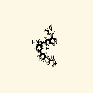 C=N/C(C)=C\N(C)c1cncc2[nH]c(-c3n[nH]c4cnc(-c5cncc(NC(=O)CN(C)C)c5)cc34)cc12